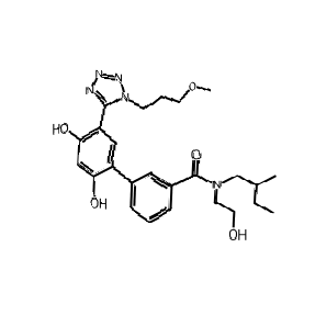 CCC(C)CN(CCO)C(=O)c1cccc(-c2cc(-c3nnnn3CCCOC)c(O)cc2O)c1